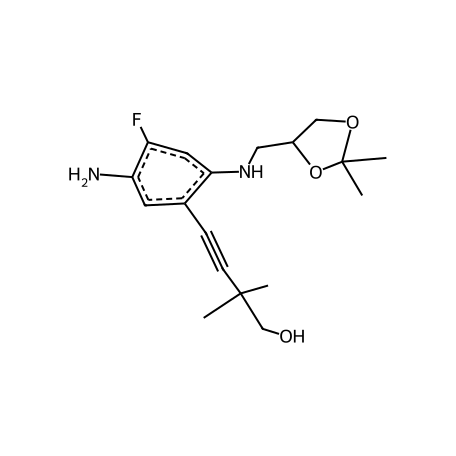 CC(C)(C#Cc1cc(N)c(F)cc1NCC1COC(C)(C)O1)CO